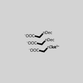 CCCCCCCCCCCC(=O)[O-].CCCCCCCCCCCC(=O)[O-].CCCCCCCCCCCC(=O)[O-].[La+3]